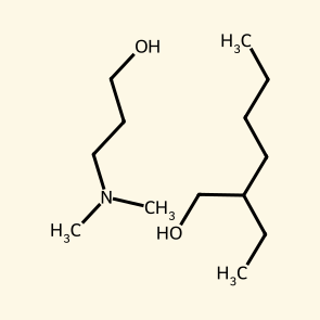 CCCCC(CC)CO.CN(C)CCCO